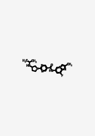 Cc1cn2cc(NC(=O)c3cnc(N4CCC(NC(C)C)C4)nc3)cc(F)c2n1